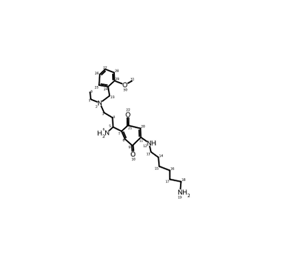 CCN(CCC(N)C1=CC(=O)C(NCCCCCCN)=CC1=O)Cc1ccccc1OC